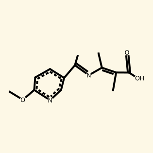 COc1ccc(/C(C)=N/C(C)=C(\C)C(=O)O)cn1